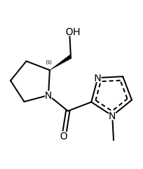 Cn1ccnc1C(=O)N1CCC[C@H]1CO